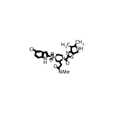 CNC(=O)CC1CN(S(=O)(=O)c2cc3cc(Cl)ccc3[nH]2)CCN1C(=O)c1nc2c(s1)CNC(C)C2C